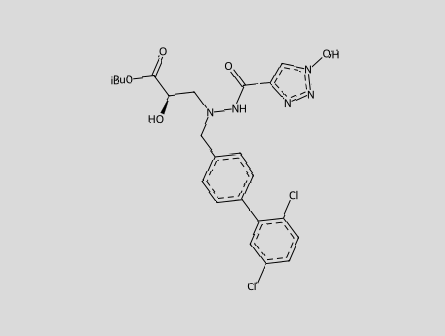 CC(C)COC(=O)[C@H](O)CN(Cc1ccc(-c2cc(Cl)ccc2Cl)cc1)NC(=O)c1cn(O)nn1